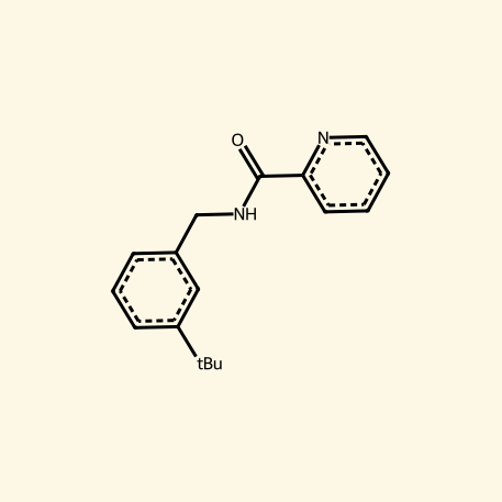 CC(C)(C)c1cccc(CNC(=O)c2ccccn2)c1